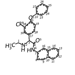 CCNC(C(=O)Nc1ccc2ccccc2c1)c1ccc(Oc2ccccc2)c(Cl)c1